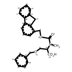 CN(C(=O)OCc1cccc2c1Cc1ccccc1-2)C(COCc1ccccc1)C(=O)O